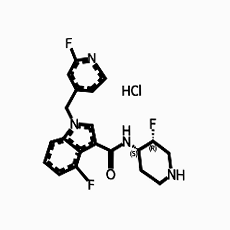 Cl.O=C(N[C@H]1CCNC[C@H]1F)c1cn(Cc2ccnc(F)c2)c2cccc(F)c12